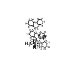 CC(C)C1=Cc2c(-c3cc4ccccc4c4ccccc34)cccc2[CH]1[Zr]([Cl])([Cl])([CH]1c2ccccc2-c2ccccc21)[SiH](C)C